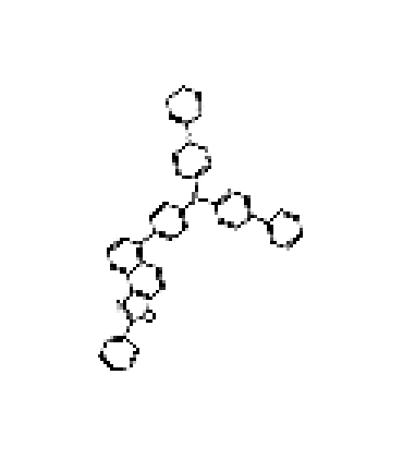 C1=CC(C2C=CC(N(c3ccc(-c4ccccc4)cc3)c3ccc(-c4cccc5c4ccc4oc(-c6ccccc6)nc45)cc3)=CC2)=CCC1